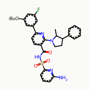 CC(C)COc1cc(F)cc(-c2ccc(C(=O)NS(=O)(=O)c3cccc(N)n3)c(N3CCC(c4ccccc4)C3C)n2)c1